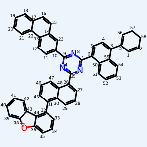 C1=CC(c2ccc(-c3nc(-c4ccc5c(ccc6ccccc65)c4)nc(-c4cccc5c(-c6cccc7oc8ccccc8c67)cccc45)n3)c3ccccc23)=CCC1